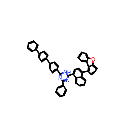 c1ccc(C2=NC(c3ccc(-c4cccc5oc6ccccc6c45)c4ccccc34)NC(c3ccc(-c4ccc(-c5ccccc5)cc4)cc3)=N2)cc1